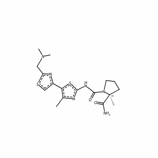 Cc1nc(NC(=O)N2CCC[C@@]2(C)C(N)=O)sc1-c1csc(CN(C)C)n1